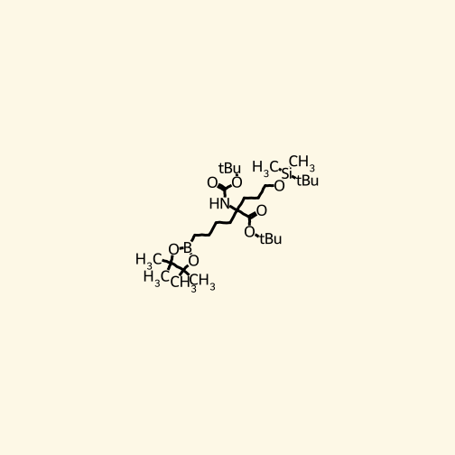 CC(C)(C)OC(=O)NC(CCCCB1OC(C)(C)C(C)(C)O1)(CCCO[Si](C)(C)C(C)(C)C)C(=O)OC(C)(C)C